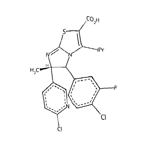 CC(C)C1=C(C(=O)O)SC2=N[C@@](C)(c3ccc(Cl)nc3)C(c3ccc(Cl)c(F)c3)N21